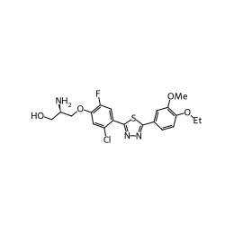 CCOc1ccc(-c2nnc(-c3cc(F)c(OC[C@H](N)CO)cc3Cl)s2)cc1OC